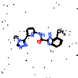 Cc1cccc2nc(C(=O)Nc3cccc(-c4nncn4C(C)C)n3)[nH]c12